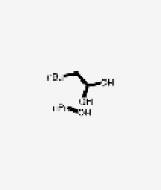 CCCCCC(O)O.CCCO